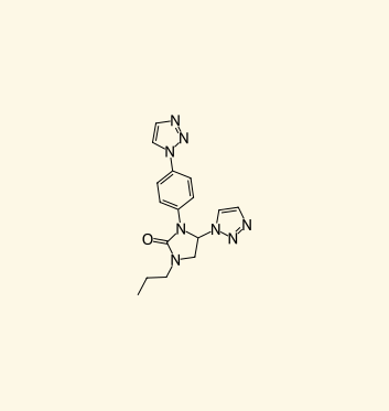 CCCN1CC(n2ccnn2)N(c2ccc(-n3ccnn3)cc2)C1=O